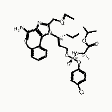 CCC[C@H](CCO[P@](=O)(N[C@@H](C)C(=O)OC(C)C)Oc1ccc(Cl)cc1)n1c(COCC)nc2c(N)nc3ccccc3c21